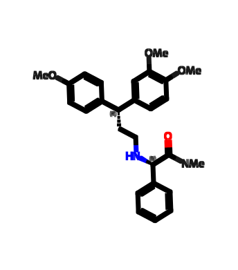 CNC(=O)[C@H](NCC[C@H](c1ccc(OC)cc1)c1ccc(OC)c(OC)c1)c1ccccc1